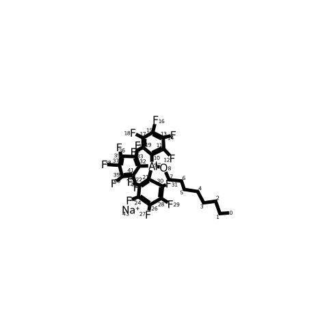 CCCCCCCC[O][Al-]([c]1c(F)c(F)c(F)c(F)c1F)([c]1c(F)c(F)c(F)c(F)c1F)[c]1c(F)c(F)c(F)c(F)c1F.[Na+]